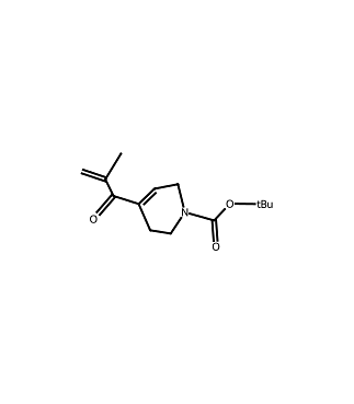 C=C(C)C(=O)C1=CCN(C(=O)OC(C)(C)C)CC1